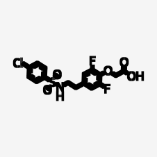 O=C(O)COc1c(F)cc(CCNS(=O)(=O)c2ccc(Cl)cc2)cc1F